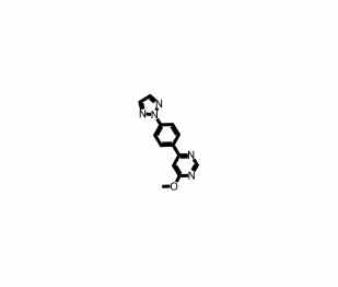 COc1cc(-c2ccc(-n3nccn3)cc2)ncn1